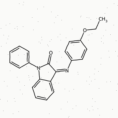 CCOc1ccc(N=C2C(=O)N(c3ccccc3)c3ccccc32)cc1